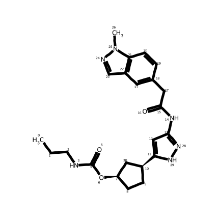 CCCNC(=O)O[C@@H]1CC[C@H](c2cc(NC(=O)Cc3ccc4c(cnn4C)c3)n[nH]2)C1